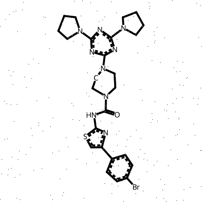 O=C(Nc1nc(-c2ccc(Br)cc2)cs1)N1CCN(c2nc(N3CCCC3)nc(N3CCCC3)n2)CC1